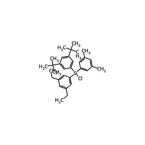 CCc1cc(CC)cc([Si](Cl)(c2cc(C)cc(C)c2)c2cc(C(C)(C)C)cc(C(C)(C)C)c2)c1